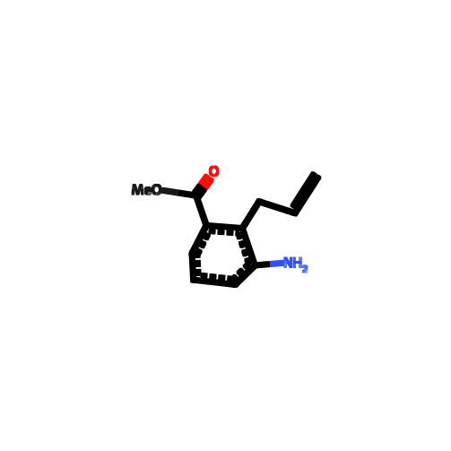 C=CCc1c(N)cccc1C(=O)OC